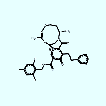 C/C1=N/OCC[C@H](C)N2C[C@H](C1)n1cc(C(=O)NCc3c(F)cc(F)cc3F)c(=O)c(OCc3ccccc3)c1C2=O